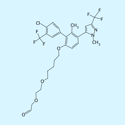 Cc1c(-c2cc(C(F)(F)F)nn2C)ccc(OCCCCCOCCOCC=O)c1-c1ccc(Cl)c(C(F)(F)F)c1